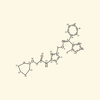 Cc1snnc1/C(=N\OCc1csc(NC(=O)COC2CCCCC2)n1)c1ccccc1